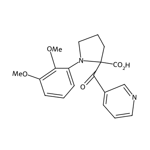 COc1cccc(N2CCCC2(C(=O)O)C(=O)c2cccnc2)c1OC